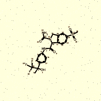 CC(O)(c1ccc(NC(=O)C2c3ccc(S(C)(=O)=O)cc3CN2C(N)=O)cc1)C(F)(F)F